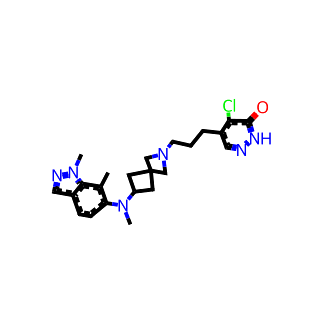 Cc1c(N(C)C2CC3(C2)CN(CCCc2cn[nH]c(=O)c2Cl)C3)ccc2cnn(C)c12